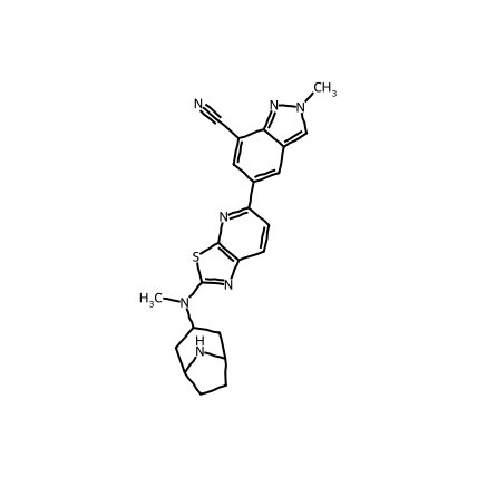 CN(c1nc2ccc(-c3cc(C#N)c4nn(C)cc4c3)nc2s1)C1CC2CCC(C1)N2